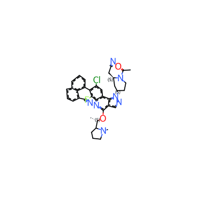 CC(=O)N1CC[C@H](n2ncc3c(O[C@@H](C)C4CCCN4C)nc4c(F)c(-c5cccc6cccc(C#N)c56)c(Cl)cc4c32)C[C@H]1CC#N